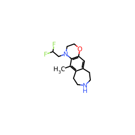 Cc1c2c(cc3c1N(CC(F)F)CCO3)CCNCC2